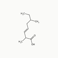 CCC(C)CC=CC(C)C(=O)O